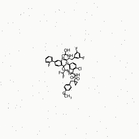 COc1ccc(CC2(S(=O)(=O)Nc3nn(CC(F)F)c4c(-n5c([C@H](Cc6cc(F)cc(F)c6)NC(=O)O)nc6cc(-c7ccccc7F)ccc6c5=O)ccc(Cl)c34)CC2)cc1